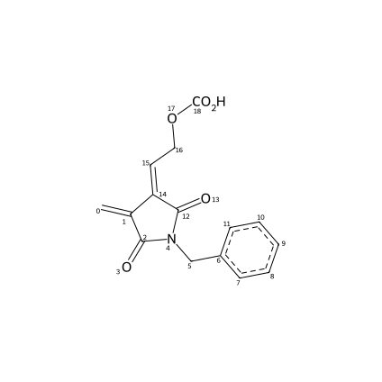 C=C1C(=O)N(Cc2ccccc2)C(=O)C1=CCOC(=O)O